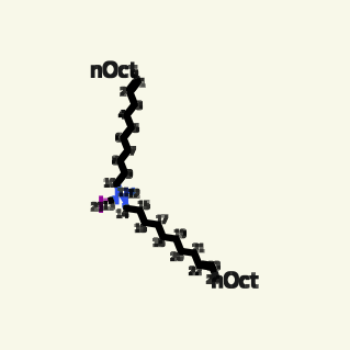 CCCCCCCCC=CCCCCCCCC[N+](C)(C)CCCCCCCCC=CCCCCCCCC.[I-]